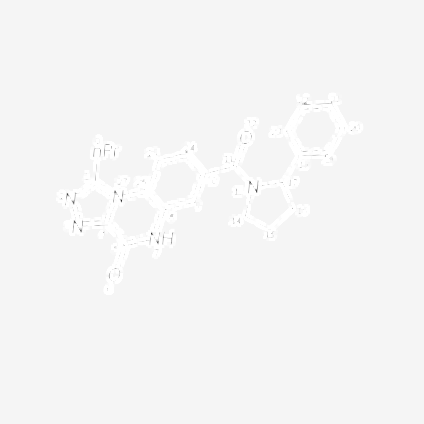 CCCc1nnc2c(=O)[nH]c3cc(C(=O)N4CCCC4c4ccccc4)ccc3n12